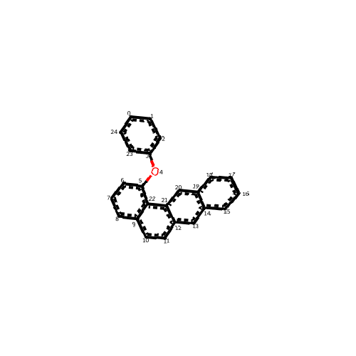 c1ccc(Oc2cccc3ccc4cc5ccccc5cc4c23)cc1